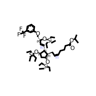 CC[Si](CC)(CC)O[C@H](/C=C/[C@@H]1[C@@H](C/C=C\CCCC(=O)OC(C)C)[C@@H](O[Si](CC)(CC)CC)C[C@H]1O[Si](CC)(CC)CC)COc1cccc(C(F)(F)F)c1